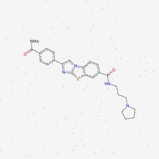 CNC(=O)c1ccc(-c2cn3c(n2)sc2cc(C(=O)NCCCN4CCCC4)ccc23)cc1